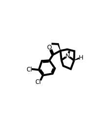 CC[C@@]1(C(=O)c2ccc(Cl)c(Cl)c2)CC[C@@H]2CCC1N2C